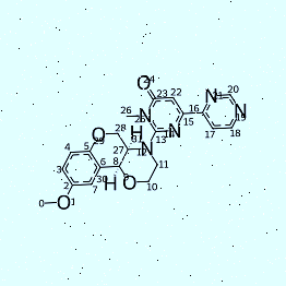 COc1ccc2c(c1)[C@@H]1OCCN(c3nc(-c4ccncn4)cc(=O)n3C)[C@@H]1CO2